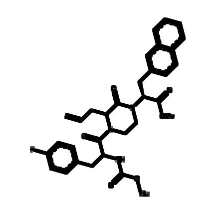 C=CCC1C(=O)N([C@@H](Cc2ccc3ccccc3c2)C(=O)OC)CCN1C(=O)C(Cc1ccc(F)cc1)NC(=O)OC(C)(C)C